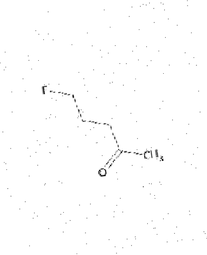 CC(=O)CCCF